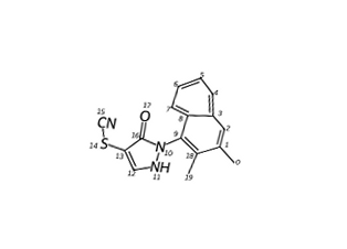 Cc1cc2ccccc2c(-n2[nH]cc(SC#N)c2=O)c1C